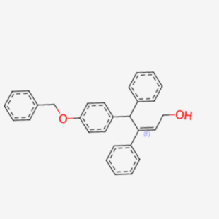 OC/C=C(/c1ccccc1)C(c1ccccc1)c1ccc(OCc2ccccc2)cc1